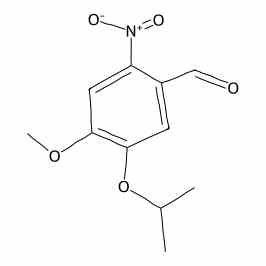 COc1cc([N+](=O)[O-])c(C=O)cc1OC(C)C